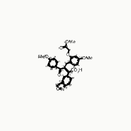 COC(=O)COc1cc(OC)ccc1CC(C(=O)c1ccc(OC)cc1)=C(C(=O)O)c1ccc2nonc2c1